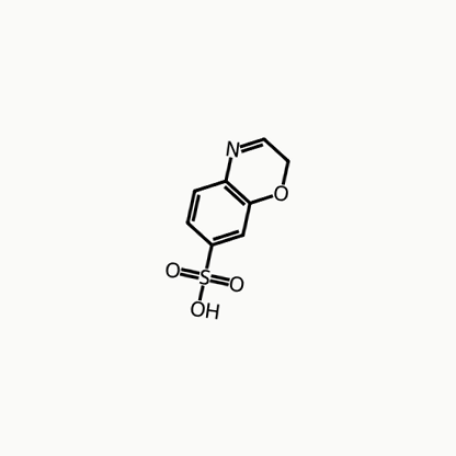 O=S(=O)(O)c1ccc2c(c1)OCC=N2